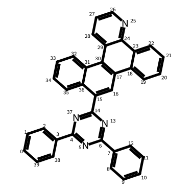 c1ccc(-c2nc(-c3ccccc3)nc(-c3cc4c5ccccc5c5ncccc5c4c4ccccc34)n2)cc1